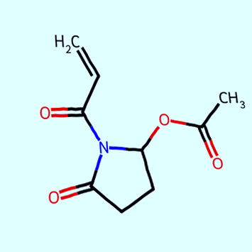 C=CC(=O)N1C(=O)CCC1OC(C)=O